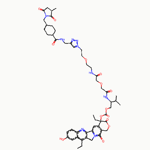 CCc1c2c(nc3ccc(O)cc13)-c1cc3c(c(=O)n1C2)COC(=O)C3(CC)OC(=O)OCC(NC(=O)COCC(=O)NCCOCCn1cc(CNC(=O)C2CCC(CN3C(=O)CC(C)C3=O)CC2)nn1)C(C)C